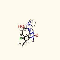 Cc1cc2c3c(nc(=O)n2I)N2CCN(C)CC2C(O)/C=C\c3c1F